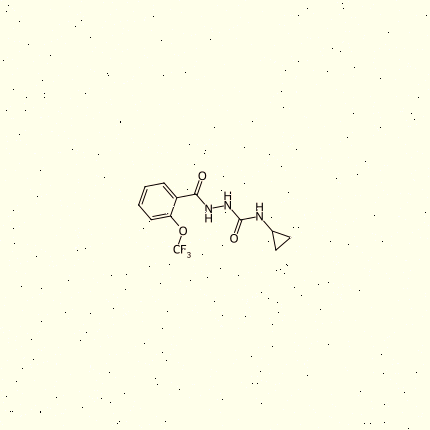 O=C(NNC(=O)c1ccccc1OC(F)(F)F)NC1CC1